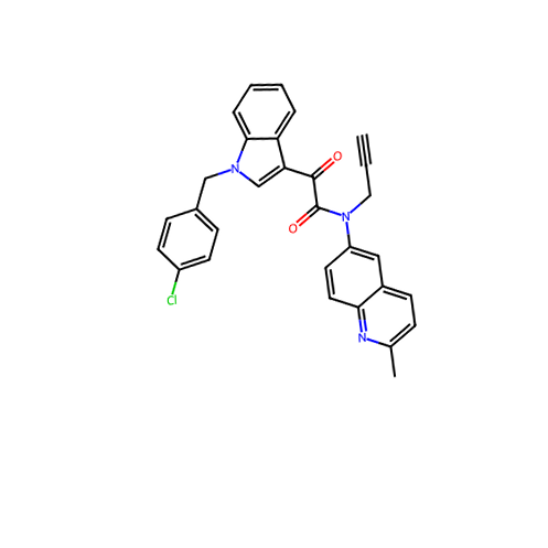 C#CCN(C(=O)C(=O)c1cn(Cc2ccc(Cl)cc2)c2ccccc12)c1ccc2nc(C)ccc2c1